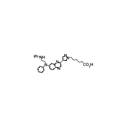 CC(C)NCCN(c1ccccc1)c1ccc2ncc(-c3cnn(CCCCCC(=O)O)c3)nc2c1